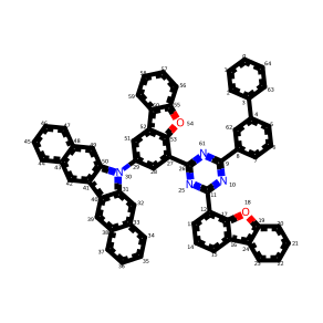 c1ccc(-c2cccc(-c3nc(-c4cccc5c4oc4ccccc45)nc(-c4cc(-n5c6cc7ccccc7cc6c6cc7ccccc7cc65)cc5c4oc4ccccc45)n3)c2)cc1